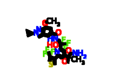 COc1cc(C(=O)NCC(O)(c2cc3c(c(-c4cscc4C(F)(F)F)n2)OC[C@]3(C)C(N)=O)C(F)(F)F)cc2cn(C3CC3)nc12